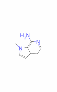 CN1C=CC2CC=NC(N)=C21